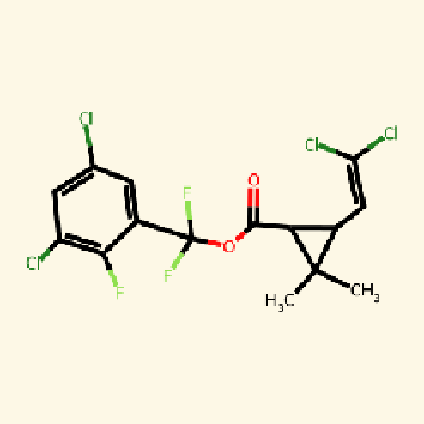 CC1(C)C(C=C(Cl)Cl)C1C(=O)OC(F)(F)c1cc(Cl)cc(Cl)c1F